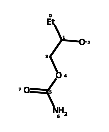 CCC([O])COC(N)=O